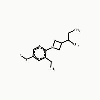 CCc1cc(SF)cnc1N1CC(C(C)CC)C1